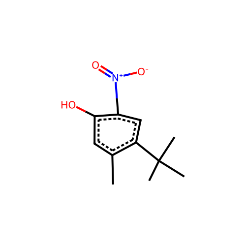 Cc1cc(O)c([N+](=O)[O-])cc1C(C)(C)C